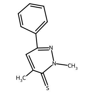 Cc1cc(-c2ccccc2)nn(C)c1=S